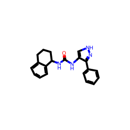 O=C(Nc1c[nH]nc1-c1ccccc1)NC1CCCc2ccccc21